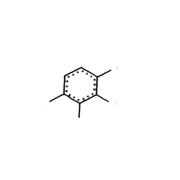 CCc1ccc([C]=O)c(C)c1C